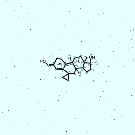 C[C@]12CC/C(=N\O)C=C1C1(CC1)C[C@@H]1[C@@H]2CC[C@@]2(C)[C@H]1CC[C@]2(C)O